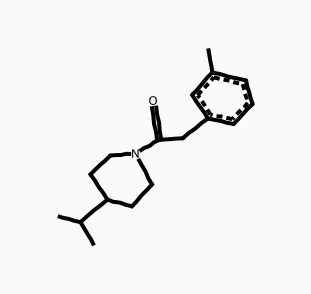 Cc1cccc(CC(=O)N2CCC(C(C)C)CC2)c1